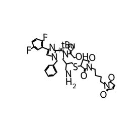 CC(C)(C)[C@H](c1nc(-c2cc(F)ccc2F)cn1Cc1ccccc1)N(CC(CN)CSC1CC(=O)N(CCCCN2C(=O)C=CC2=O)C1=O)C(=O)CO